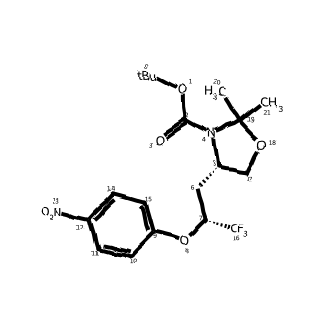 CC(C)(C)OC(=O)N1[C@@H](C[C@@H](Oc2ccc([N+](=O)[O-])cc2)C(F)(F)F)COC1(C)C